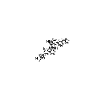 CS(=O)(=O)NCc1cc(F)cc(-c2cccc3[nH]c(-c4n[nH]c5ccc(-c6cncc(CN7CCCC7)c6)nc45)nc23)c1